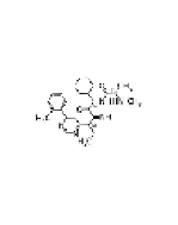 CC[C@H](C(=N)C(=O)[C@@H](NC(=O)[C@H](C)NC)C1CCCCC1)c1cc(-c2ccccc2C)ncn1